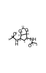 CC(=O)NC1CC(NC(C)=O)C2OCOC12